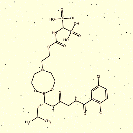 CC(C)C[C@@H](NC(=O)CNC(=O)c1cc(Cl)ccc1Cl)B1OCCN(CCOC(=O)NC(P(=O)(O)O)P(=O)(O)O)CCO1